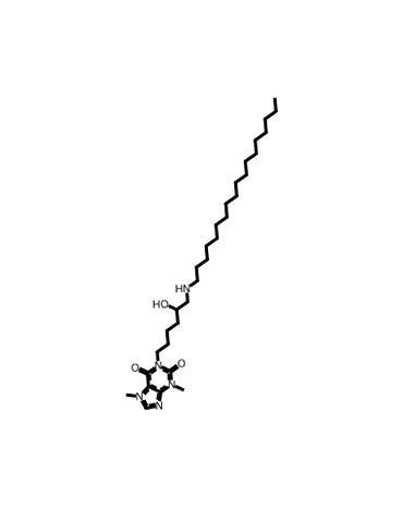 CCCCCCCCCCCCCCCCCCNCC(O)CCCCn1c(=O)c2c(ncn2C)n(C)c1=O